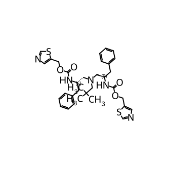 CC(C)(C)CN(C[C@@H](Cc1ccccc1)NC(=O)OCc1cncs1)C[C@H](Cc1ccccc1)NC(=O)OCc1cncs1